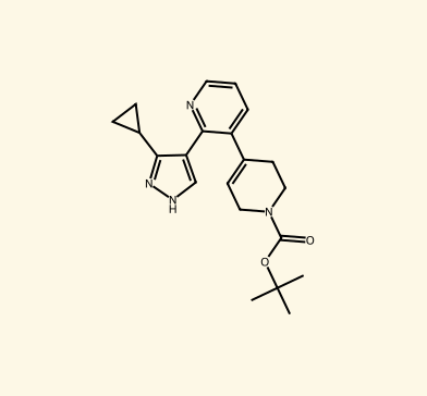 CC(C)(C)OC(=O)N1CC=C(c2cccnc2-c2c[nH]nc2C2CC2)CC1